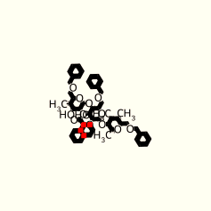 C[C@@H]1C(COCc2ccccc2)O[C@H](C)C(O[C@H]2OC(COCc3ccccc3)[C@@H](O[C@@H]3OC(COCc4ccccc4)[C@@H](C)[C@H](O)C3OC(=O)c3ccccc3)[C@H](O)C2OCc2ccccc2)[C@H]1C